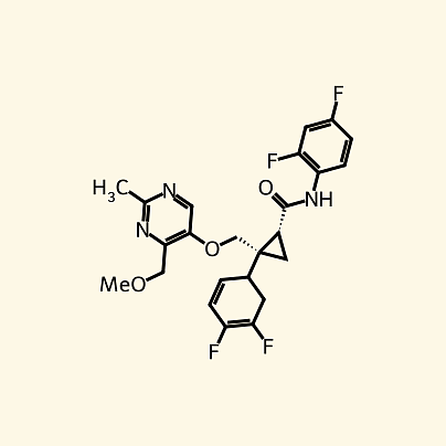 COCc1nc(C)ncc1OC[C@@]1(C2C=CC(F)=C(F)C2)C[C@H]1C(=O)Nc1ccc(F)cc1F